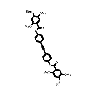 CCOc1cc(OC)c(C(=O)Oc2ccc(C#Cc3ccc(OC(=O)c4cc(OC)c(OCC)cc4OC)cc3)cc2)cc1OC